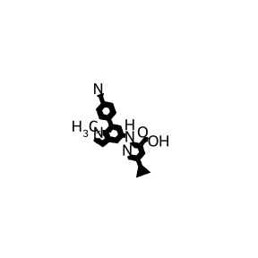 Cn1ccc2cc(Nc3ncc(C4CC4)cc3C(=O)O)cc(-c3ccc(C#N)cc3)c21